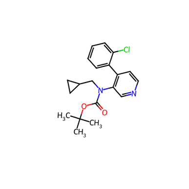 CC(C)(C)OC(=O)N(CC1CC1)c1cnccc1-c1ccccc1Cl